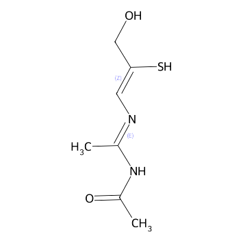 CC(=O)N/C(C)=N/C=C(\S)CO